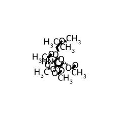 CCOC(C)(C)CCO[C@@H]1O[C@H](COC(C)=O)[C@H](OC(C)=O)[C@H](OC(C)=O)[C@H]1NC(C)=O